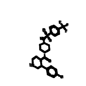 O=C([C@H]1CC[C@H](NS(=O)(=O)c2ccc(C(F)(F)F)cc2)CC1)N1CCNCC1c1ccc(Cl)cc1